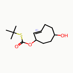 CC(C)(C)SC(=O)OC1/C=C/CCC(O)CC1